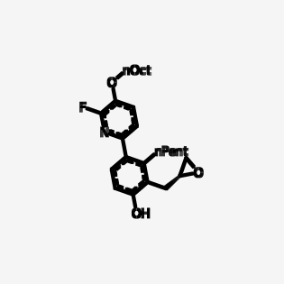 CCCCCCCCOc1ccc(-c2ccc(O)c(C[C@H]3CO3)c2CCCCC)nc1F